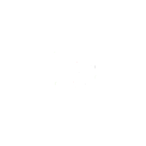 CC1(C(F)(F)F)OC(F)C(F)(F)O1